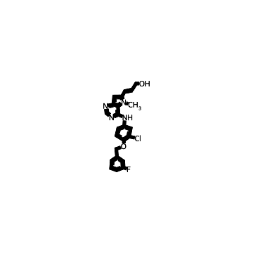 Cn1c(C=CCO)cc2ncnc(Nc3ccc(OCc4cccc(F)c4)c(Cl)c3)c21